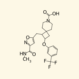 CNC(=O)c1cc(CC2C(Oc3cccc(C(F)(F)F)c3)CC23CCN(C(=O)O)CC3)on1